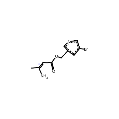 C/C(N)=C/C(=O)OCc1cncc(Br)c1